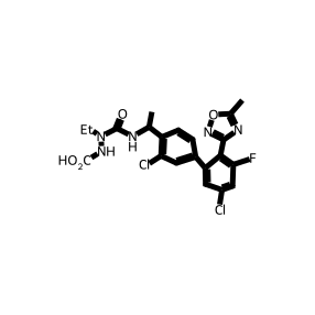 CCN(NC(=O)O)C(=O)NC(C)c1ccc(-c2cc(Cl)cc(F)c2-c2noc(C)n2)cc1Cl